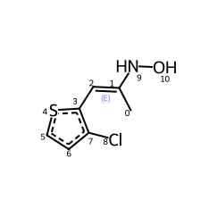 C/C(=C\c1sccc1Cl)NO